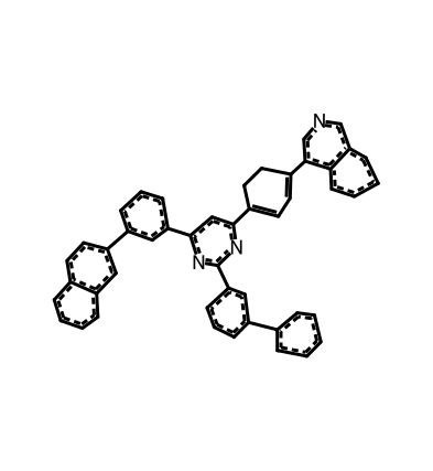 C1=C(c2cc(-c3cccc(-c4ccc5ccccc5c4)c3)nc(-c3cccc(-c4ccccc4)c3)n2)CCC(c2cncc3ccccc23)=C1